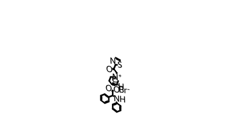 O=C(C[N+]12CCC(CC1)[C@@H](OC(=O)C(Nc1ccccc1)c1ccccc1)C2)c1nccs1.[Br-]